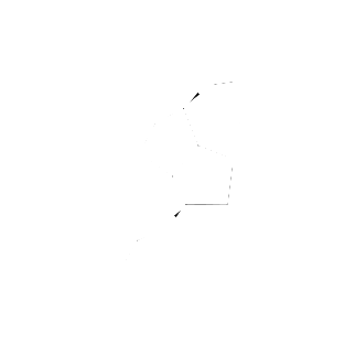 CO[C@@H]1CO[C@@H]2[C@H](OC(C)C)CO[C@@]21I